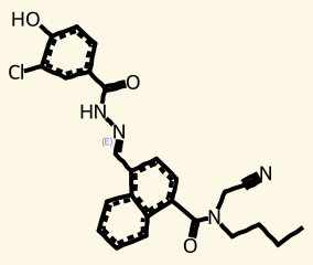 CCCCN(CC#N)C(=O)c1ccc(/C=N/NC(=O)c2ccc(O)c(Cl)c2)c2ccccc12